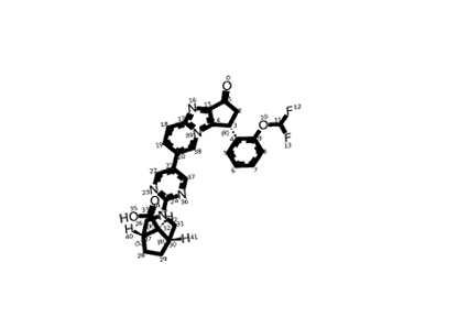 O=C1C[C@H](c2ccccc2OC(F)F)c2c1nc1ccc(-c3cnc(N4C[C@H]5CC[C@@H](C4)[C@@H]5C(=O)O)nc3)cn21